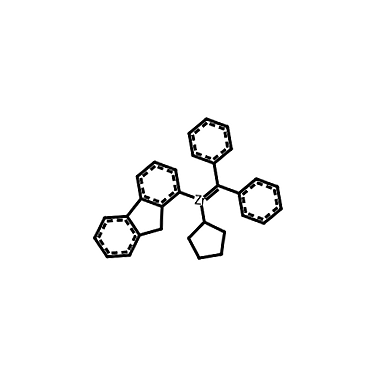 c1ccc([C](c2ccccc2)=[Zr]([c]2cccc3c2Cc2ccccc2-3)[CH]2CCCC2)cc1